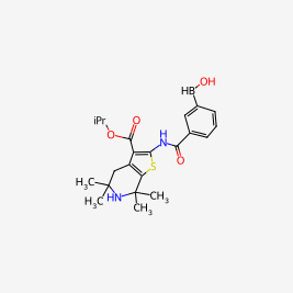 CC(C)OC(=O)c1c(NC(=O)c2cccc(BO)c2)sc2c1CC(C)(C)NC2(C)C